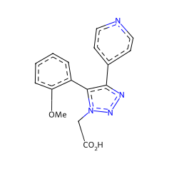 COc1ccccc1-c1c(-c2ccncc2)nnn1CC(=O)O